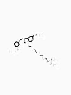 COc1cccc(CN(Cc2cccc(OC)c2)C(=O)OCCOCCOCCOCCN(C)C)c1